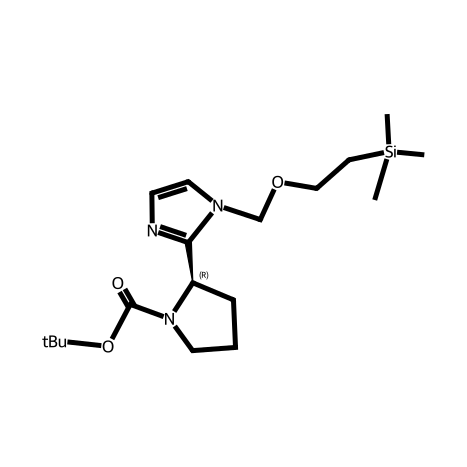 CC(C)(C)OC(=O)N1CCC[C@@H]1c1nccn1COCC[Si](C)(C)C